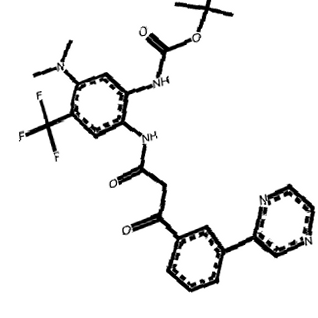 CN(C)c1cc(NC(=O)OC(C)(C)C)c(NC(=O)CC(=O)c2cccc(-c3cnccn3)c2)cc1C(F)(F)F